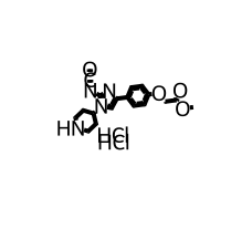 COC(=O)COc1ccc(-c2cn(C3CCNCC3)c(N=C=O)n2)cc1.Cl.Cl